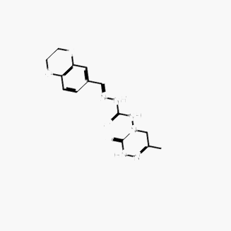 CC1=NNC(=O)N(NC(=O)N/N=C/c2ccc3c(c2)OCCO3)C1